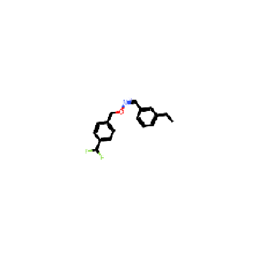 CCc1cccc(/[C]=N\OCc2ccc(C(F)F)cc2)c1